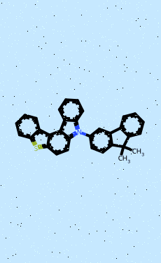 CC1(C)c2ccccc2-c2cc(-n3c4ccccc4c4c5c(ccc43)sc3ccccc35)ccc21